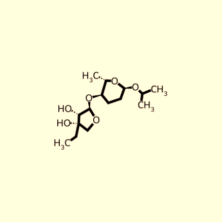 CC[C@]1(O)CO[C@H](O[C@@H]2CC[C@H](OC(C)C)O[C@H]2C)[C@H]1O